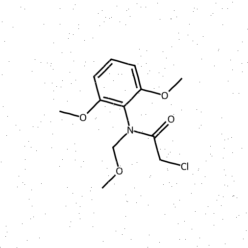 COCN(C(=O)CCl)c1c(OC)cccc1OC